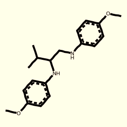 COc1ccc(NCC(Nc2ccc(OC)cc2)C(C)C)cc1